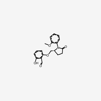 COc1ccccc1N1C(=O)CC[C@H]1COc1cccc(O)c1C=O